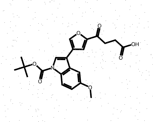 COc1ccc2c(c1)c(-c1coc(C(=O)CCC(=O)O)c1)cn2C(=O)OC(C)(C)C